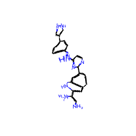 N/C=C(\N)c1cc2ccc(-c3nccc(Nc4ccc(-c5cn[nH]c5)cc4)n3)cc2[nH]1